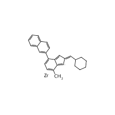 Cc1ccc(-c2ccc3ccccc3c2)c2c1=[C]C(=CC1CCCCC1)C=2.[Zr]